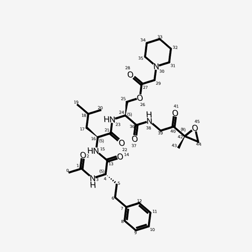 CC(=O)N[C@@H](CCc1ccccc1)C(=O)N[C@@H](CC(C)C)C(=O)N[C@@H](COC(=O)CN1CCCCC1)C(=O)NCC(=O)[C@@]1(C)CO1